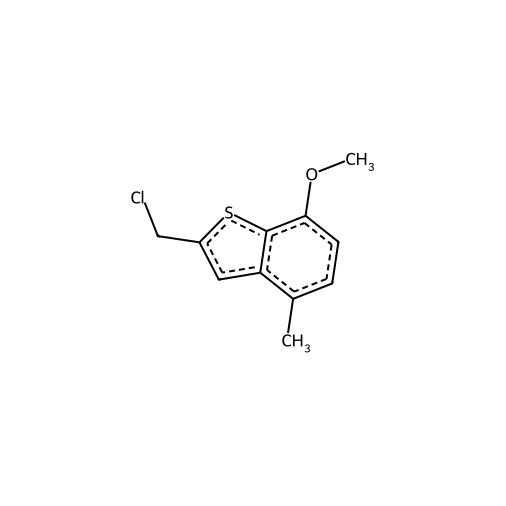 COc1ccc(C)c2cc(CCl)sc12